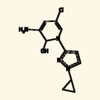 NC1=CC(Cl)=CN(c2ccn(C3CC3)n2)C1O